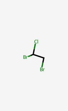 ClC(Br)CBr